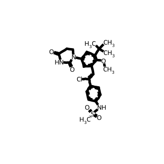 COc1c(C=C(Cl)c2ccc(NS(C)(=O)=O)cc2)cc(N2CCC(=O)NC2=O)cc1C(C)(C)C